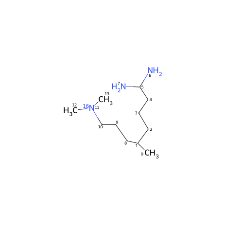 CC(CCCC(N)N)CCC[16N](C)C